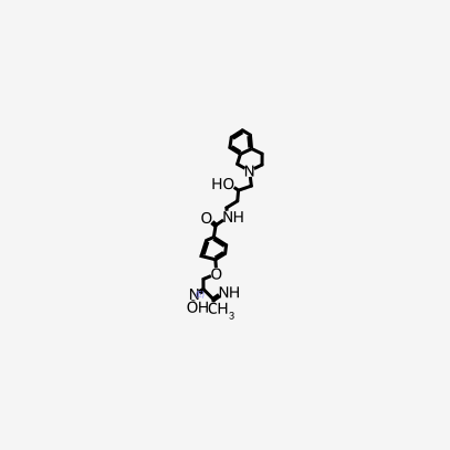 CC(=N)/C(COc1ccc(C(=O)NCCC(O)CN2CCc3ccccc3C2)cc1)=N\O